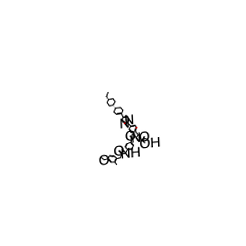 CC[C@H]1CC[C@H](C2CC=C(c3cnc(-c4ccc(CN(CC(=O)O)C(=O)c5ccc(NC(=O)Cc6ccc(OC)cc6C)cc5)cc4)nc3)CC2)CC1